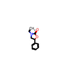 C=CN1CC(c2ccccc2)OC1=O